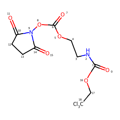 O=C(NCCOC(=O)ON1C(=O)CCC1=O)OCC(Cl)(Cl)Cl